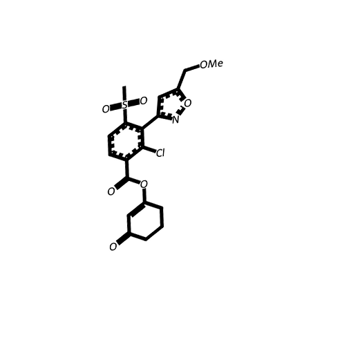 COCc1cc(-c2c(S(C)(=O)=O)ccc(C(=O)OC3=CC(=O)CCC3)c2Cl)no1